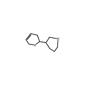 [C]1OCCCC1C1CC=CCO1